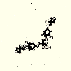 CCC1(COC2CC3(CC)CC2CC3OCC(CC)(CO)COC2CC3(CC)CC2CC3OCC2(CC)COC2)COC1